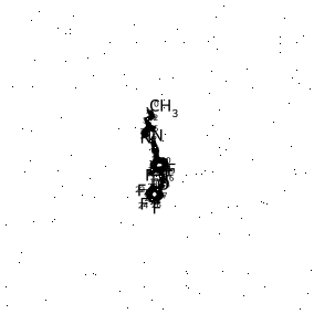 CCCCc1cnc(C#Cc2cc(F)c(C(F)(F)Oc3cc(F)c(F)c(F)c3)c(F)c2)nc1